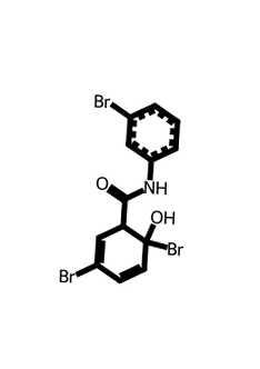 O=C(Nc1cccc(Br)c1)C1C=C(Br)C=CC1(O)Br